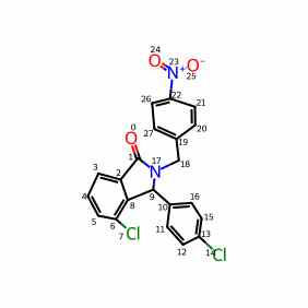 O=C1c2cccc(Cl)c2C(c2ccc(Cl)cc2)N1Cc1ccc([N+](=O)[O-])cc1